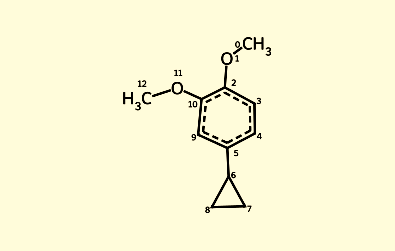 COc1ccc(C2CC2)cc1OC